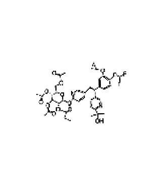 CC(=O)OC[C@H]1O[C@@H](Oc2ccc(C[C@H](c3ccc(C(C)(C)O)nc3)c3ccc(OC(F)F)c(OC4CC4)c3)cn2)[C@H](OC(=O)CI)[C@@H](OC(C)=O)[C@@H]1OC(C)=O